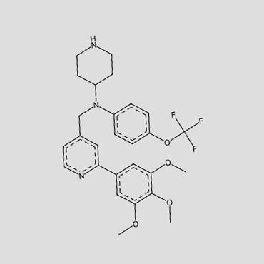 COc1cc(-c2cc(CN(c3ccc(OC(F)(F)F)cc3)C3CCNCC3)ccn2)cc(OC)c1OC